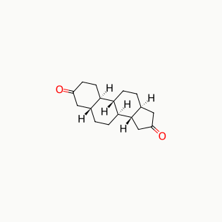 O=C1CC[C@@H]2[C@H](CC[C@H]3[C@H]2CC[C@H]2CC(=O)C[C@@H]23)C1